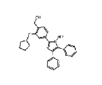 CCCn1c(-c2ccc(CO)c(OC3CCCC3)c2)nc(-c2ccccc2)c1-c1ccccc1